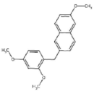 COc1ccc([CH]c2ccc3cc(OC)ccc3c2)c(OC)c1